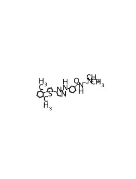 Cc1cccc(C)c1-c1ccc(-c2ccnc(Nc3cccc(C(=O)NCCN(C)C)c3)n2)s1